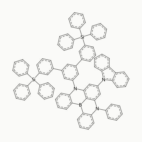 c1ccc(N2c3ccccc3B3c4ccccc4N(c4cc(-c5cccc([Si](c6ccccc6)(c6ccccc6)c6ccccc6)c5)cc(-c5cccc([Si](c6ccccc6)(c6ccccc6)c6ccccc6)c5)c4)c4cc(-n5c6ccccc6c6ccccc65)cc2c43)cc1